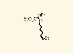 CC/C=C\CCCCOC(CCC)C(=O)OCC